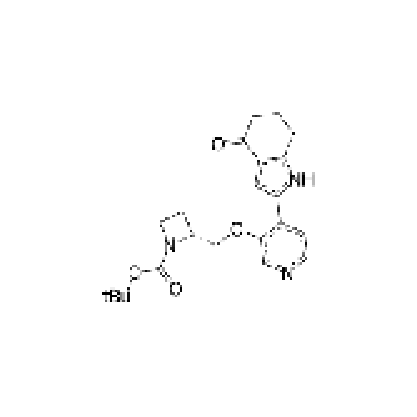 CC(C)(C)OC(=O)N1CC[C@@H]1COc1cnccc1-c1cc2c([nH]1)CCCC2=O